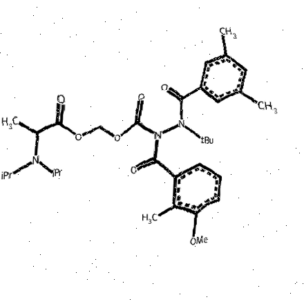 COc1cccc(C(=O)N(C(=O)OCOC(=O)C(C)N(C(C)C)C(C)C)N(C(=O)c2cc(C)cc(C)c2)C(C)(C)C)c1C